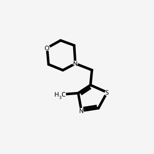 Cc1ncsc1CN1CCOCC1